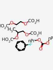 CC(COC(=O)O)OC(=O)O.CCCOC(=O)OCCC.Fc1ccccc1.O=C(O)OCCOC(=O)O